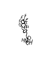 O=C(/C=C/c1ccc(CNC(=O)c2c(F)c(F)c(F)c(F)c2F)cc1)NO